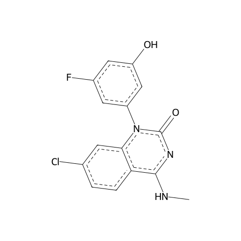 CNc1nc(=O)n(-c2cc(O)cc(F)c2)c2cc(Cl)ccc12